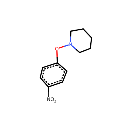 O=[N+]([O-])c1ccc(ON2CCCCC2)cc1